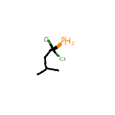 CC(C)CC(P)(Cl)Cl